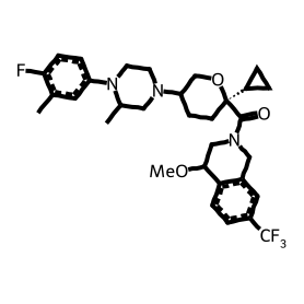 COC1CN(C(=O)[C@@]2(C3CC3)CCC(N3CCN(c4ccc(F)c(C)c4)C(C)C3)CO2)Cc2cc(C(F)(F)F)ccc21